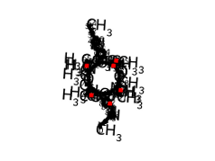 CCC#Cc1cnn(Cc2ccc(C[C@H]3OC(=O)[C@H](CC(C)C)N(C)C(=O)[C@@H](C)OC(=O)[C@H](CC(C)C)N(C)C(=O)[C@@H](Cc4ccc(Cn5cc(C#CCC)cn5)cc4)OC(=O)[C@H](CC(C)C)N(C)C(=O)[C@@H](C)OC(=O)[C@H](CC(C)C)N(C)C3=O)cc2)c1